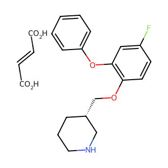 Fc1ccc(OC[C@H]2CCCNC2)c(Oc2ccccc2)c1.O=C(O)C=CC(=O)O